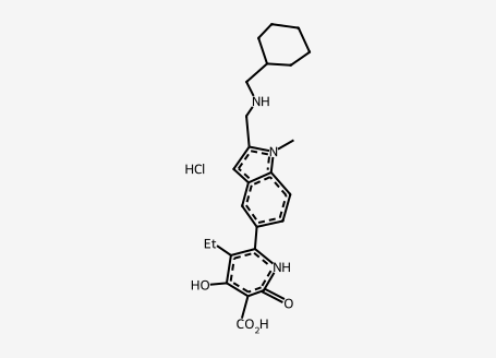 CCc1c(-c2ccc3c(c2)cc(CNCC2CCCCC2)n3C)[nH]c(=O)c(C(=O)O)c1O.Cl